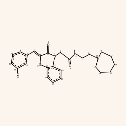 O=C(CN1C(=O)C(=Cc2cccc(Cl)c2)Sc2ccccc21)NCCN1CCCCCC1